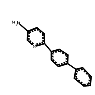 Nc1ccc(-c2ccc(-c3ccccc3)cc2)nc1